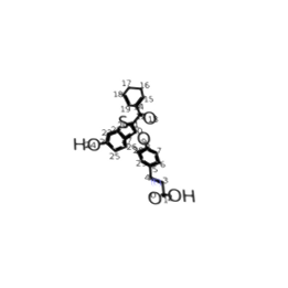 O=C(O)/C=C/c1ccc(Oc2c(C(=O)C3=CCCC=C3)sc3cc(O)ccc23)cc1